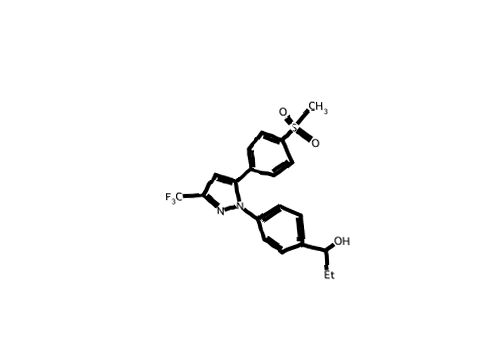 CCC(O)c1ccc(-n2nc(C(F)(F)F)cc2-c2ccc(S(C)(=O)=O)cc2)cc1